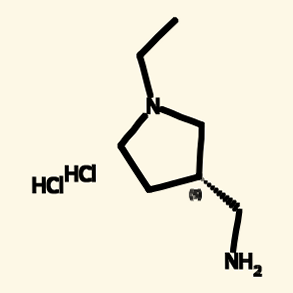 CCN1CC[C@@H](CN)C1.Cl.Cl